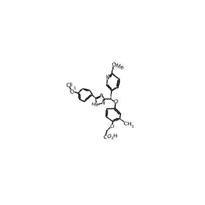 COc1ccc(C(Oc2ccc(OCC(=O)O)c(C)c2)c2n[nH]c(-c3ccc(OC(F)(F)F)cc3)n2)cn1